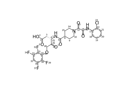 O=C(O)C[C@H](NC(=O)C1CCN(C(=O)C(=O)Nc2ccccc2Cl)CC1)C(=O)COc1c(F)c(F)cc(F)c1F